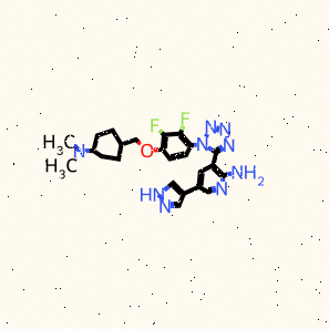 CN(C)C1CCC(COc2ccc(-n3nnnc3-c3cc(-c4cn[nH]c4)cnc3N)c(F)c2F)CC1